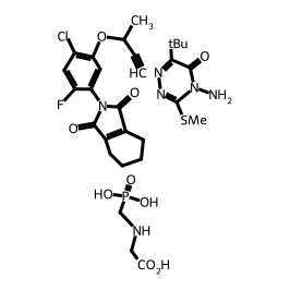 C#CC(C)Oc1cc(N2C(=O)C3=C(CCCC3)C2=O)c(F)cc1Cl.CSc1nnc(C(C)(C)C)c(=O)n1N.O=C(O)CNCP(=O)(O)O